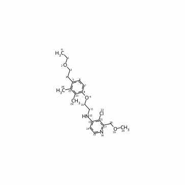 CCOCCc1ccc(OCCNc2ccnc(COC)c2Cl)c(C)c1C